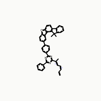 C=C/C=C\C=C(/C)c1nc(-c2ccccc2)nc(-c2ccc(-c3ccc4oc5ccc6c(c5c4c3)C(C)(C)c3ccccc3-6)cc2)n1